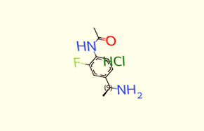 CC(=O)Nc1ccc([C@H](C)N)cc1F.Cl